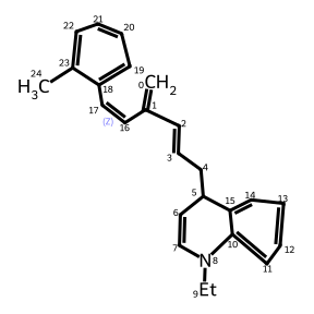 C=C(C=CCC1C=CN(CC)c2ccccc21)/C=C\c1ccccc1C